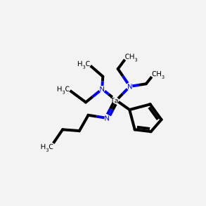 CCCC[N]=[Ta]([CH]1C=CC=C1)([N](CC)CC)[N](CC)CC